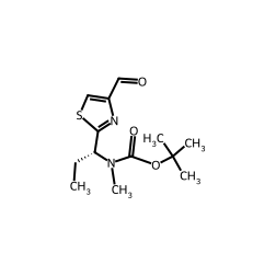 CC[C@H](c1nc(C=O)cs1)N(C)C(=O)OC(C)(C)C